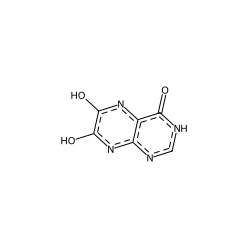 O=c1[nH]cnc2nc(O)c(O)nc12